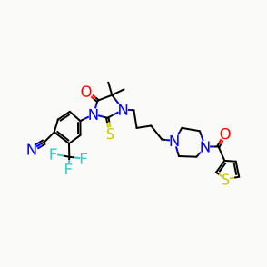 CC1(C)C(=O)N(c2ccc(C#N)c(C(F)(F)F)c2)C(=S)N1CCCCN1CCN(C(=O)c2ccsc2)CC1